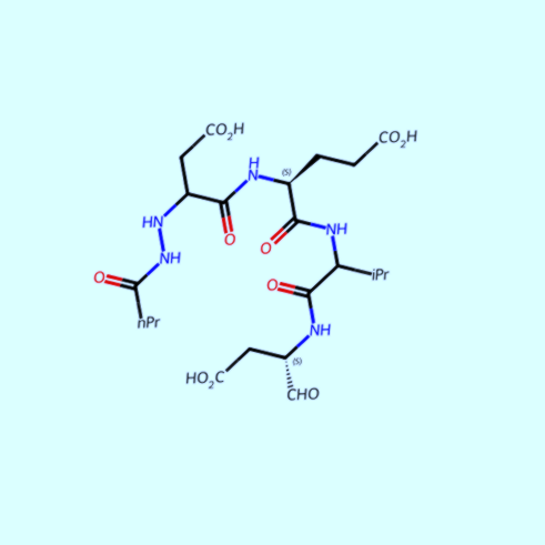 CCCC(=O)NNC(CC(=O)O)C(=O)N[C@@H](CCC(=O)O)C(=O)NC(C(=O)N[C@H](C=O)CC(=O)O)C(C)C